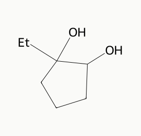 CCC1(O)CCCC1O